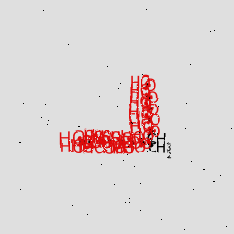 C=CC.O=C(O)O.O=C(O)O.O=C(O)O.O=C(O)O.O=C(O)O.O=C(O)O.O=C(O)O.O=C(O)O.O=C(O)O.O=C(O)O.O=C(O)O.O=C(O)O